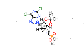 CCOP(C)(=O)/C=C/[C@]12C[C@@H]1[C@@H](n1cnc3c(Cl)nc(Cl)nc31)[C@@H]1OC(C)(C)O[C@@H]12